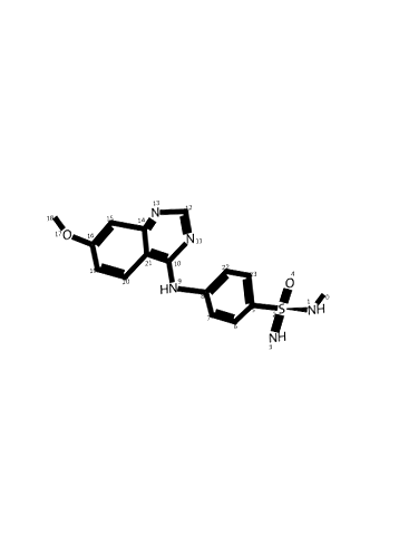 CN[S@](=N)(=O)c1ccc(Nc2ncnc3cc(OC)ccc23)cc1